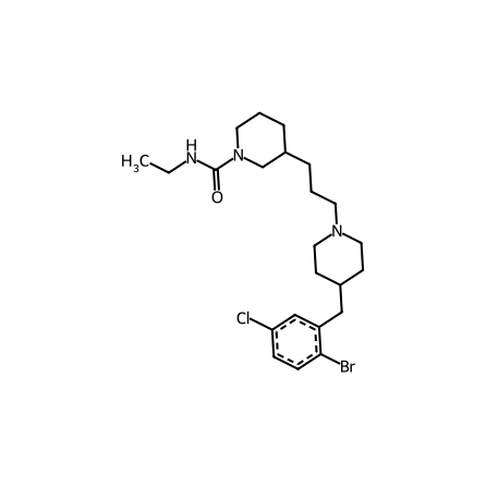 CCNC(=O)N1CCCC(CCCN2CCC(Cc3cc(Cl)ccc3Br)CC2)C1